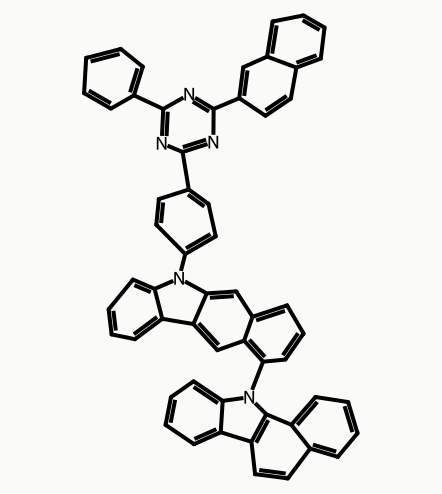 c1ccc(-c2nc(-c3ccc(-n4c5ccccc5c5cc6c(-n7c8ccccc8c8ccc9ccccc9c87)cccc6cc54)cc3)nc(-c3ccc4ccccc4c3)n2)cc1